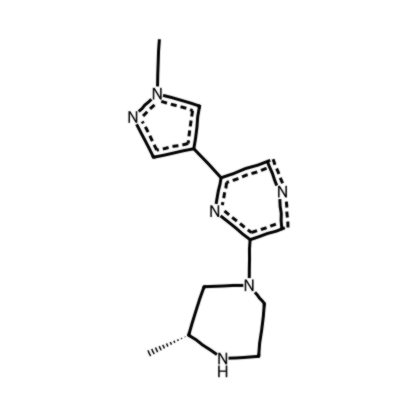 C[C@@H]1CN(c2cncc(-c3cnn(C)c3)n2)CCN1